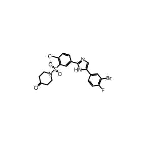 O=C1CCN(S(=O)(=O)c2cc(-c3ncc(-c4ccc(F)c(Br)c4)[nH]3)ccc2Cl)CC1